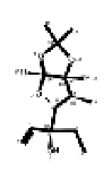 C=C[C@@](O)(CC)[C@@H]1O[C@@H]2OC(C)(C)O[C@@H]2[C@H]1C